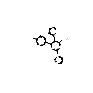 CCOC(=O)c1ccc(-c2nc(-n3ccnc3)nc(NC)c2-c2cccs2)cc1.Cl